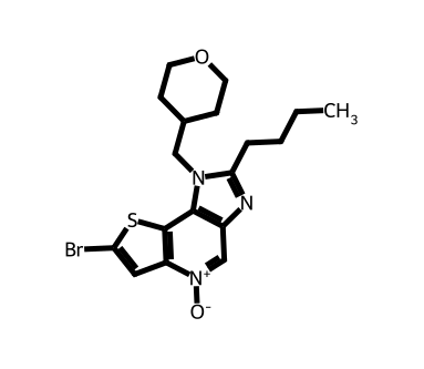 CCCCc1nc2c[n+]([O-])c3cc(Br)sc3c2n1CC1CCOCC1